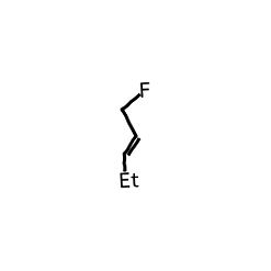 CCC=CCF